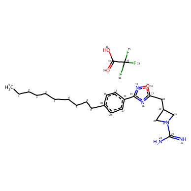 CCCCCCCCCCc1ccc(-c2noc(CC3CN(C(=N)N)C3)n2)cc1.O=C(O)C(F)(F)F